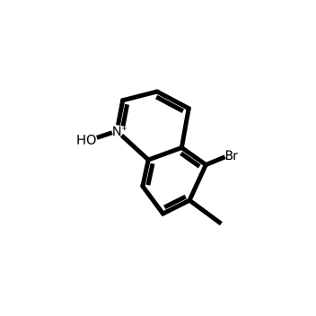 Cc1ccc2c(ccc[n+]2O)c1Br